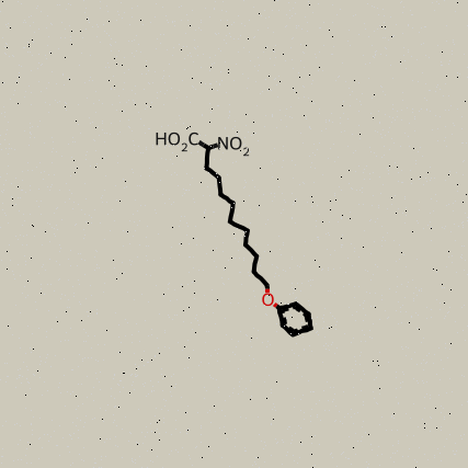 O=C(O)C(CCCCCCCCCCOc1ccccc1)[N+](=O)[O-]